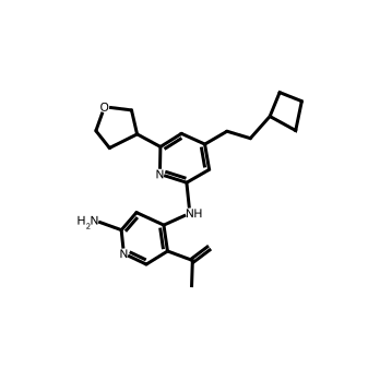 C=C(C)c1cnc(N)cc1Nc1cc(CCC2CCC2)cc(C2CCOC2)n1